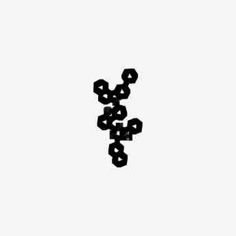 c1ccc(C2=NC(c3cccc4oc5c(-n6c7ccc(-c8ccccc8)cc7c7c8ccccc8ccc76)cccc5c34)=NC(c3ccc4ccccc4c3)N2)cc1